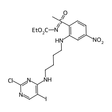 CCOC(=O)N=S(C)(=O)c1ccc([N+](=O)[O-])cc1NCCCCNc1nc(Cl)ncc1I